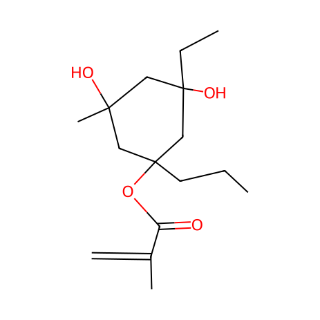 C=C(C)C(=O)OC1(CCC)CC(C)(O)CC(O)(CC)C1